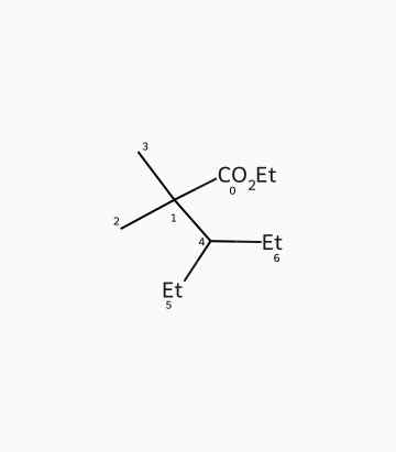 CCOC(=O)C(C)(C)C(CC)CC